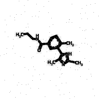 CCCNC(=O)c1ccc(C)c(-c2[nH]c(C)nc2C)c1